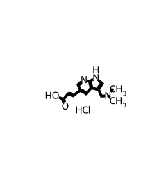 CN(C)Cc1c[nH]c2ncc(/C=C/C(=O)O)cc12.Cl